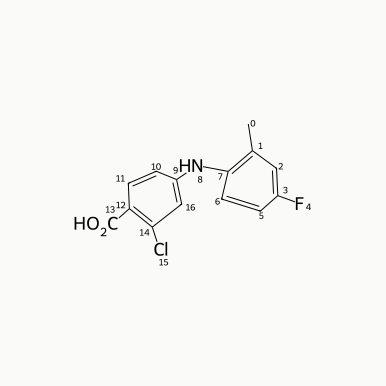 Cc1cc(F)ccc1Nc1ccc(C(=O)O)c(Cl)c1